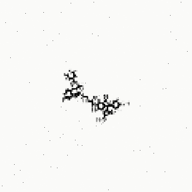 CC1=C(C(=O)OCCNC(=S)Nc2ccc3c(c2)C(=O)OC32c3ccc(O)cc3Oc3cc(O)ccc32)C(c2ccc(F)cc2Cl)N=C(c2ccncc2)N1